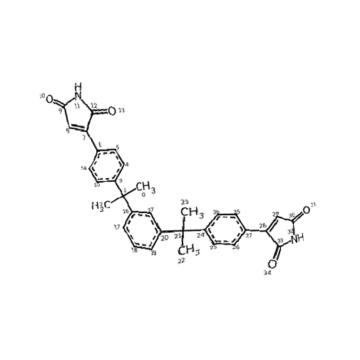 CC(C)(c1ccc(C2=CC(=O)NC2=O)cc1)c1cccc(C(C)(C)c2ccc(C3=CC(=O)NC3=O)cc2)c1